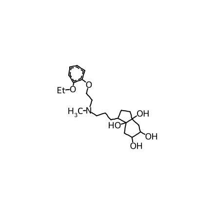 CCOc1ccccc1OCCN(C)CCCC1CCC2(O)CC(O)C(O)CC12O